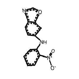 O=[N+]([O-])c1ccccc1Nc1ccc2ncoc2c1